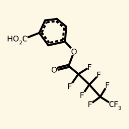 O=C(O)c1cccc(OC(=O)C(F)(F)C(F)(F)C(F)(F)C(F)(F)F)c1